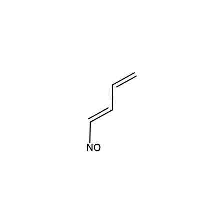 C=C/C=C/N=O